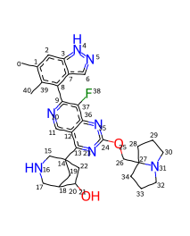 Cc1cc2[nH]ncc2c(-c2ncc3c(C45CNCC(C4)C(O)C5)nc(OCC45CCCN4CCC5)nc3c2F)c1C